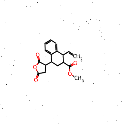 C=CC1c2ccccc2C(C2CC(=O)OC2=O)CC1C(=O)OC